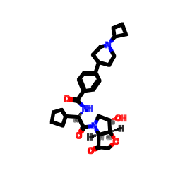 O=C(N[C@H](C(=O)N1C[C@H](O)[C@H]2OCC(=O)[C@H]21)C1CCCC1)c1ccc(C2CCN(C3CCC3)CC2)cc1